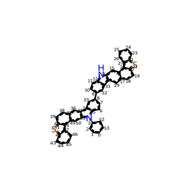 c1ccc(-n2c3ccc(-c4ccc5[nH]c6cc7c(ccc8sc9ccccc9c87)cc6c5c4)cc3c3cc4ccc5sc6ccccc6c5c4cc32)cc1